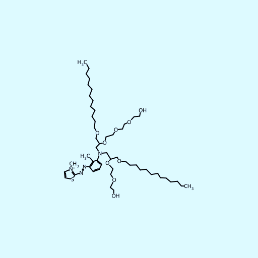 CCCCCCCCCCCCCOCC(CN(CC(COCCCCCCCCCCCCC)OCCOCCOCCO)c1cccc(/N=N/c2scc[n+]2C)c1C)OCCOCCO